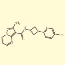 N#Cc1ccc(N2CC(NC(=O)c3c(N)nn4cccnc34)C2)nc1